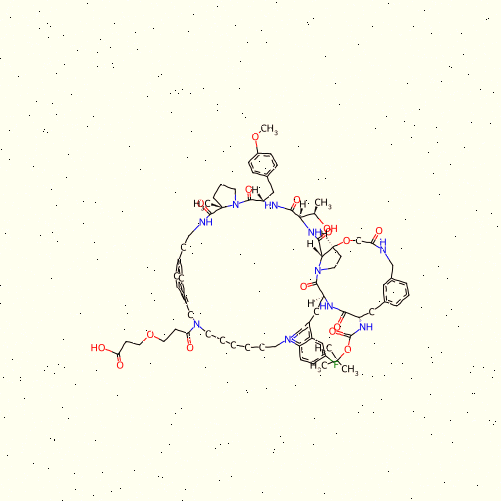 COc1ccc(C[C@@H]2NC(=O)[C@H]([C@@H](C)O)NC(=O)[C@@H]3[C@@H]4CCN3C(=O)[C@H](Cc3cn(c5ccc(F)cc35)CCCCCCN(C(=O)CCOCCC(=O)O)Cc3ccc(cc3)CCNC(=O)[C@]3(C)CCCN3C2=O)NC(=O)[C@@H](NC(=O)OC(C)(C)C)Cc2cccc(c2)CNC(=O)CO4)cc1